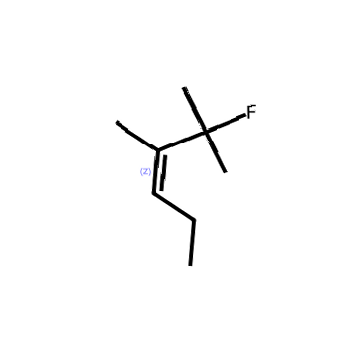 CC/C=C(/C)C(C)(C)F